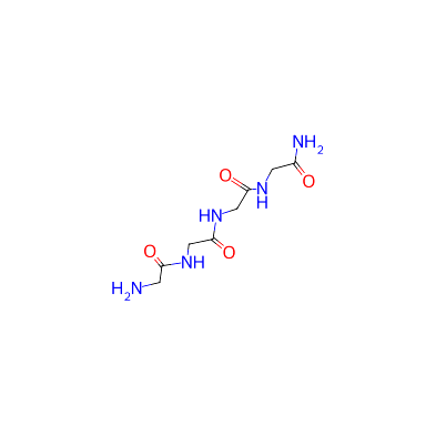 NCC(=O)NCC(=O)NCC(=O)NCC(N)=O